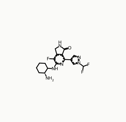 N[C@H]1CCCCC1Nc1nc(-c2cnn(C(F)F)c2)c2c(c1F)CNC2=O